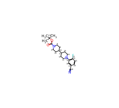 CC(C)(C)OC(=O)N1CCC(C2CCN(c3cc(C#N)ccc3F)CC2)CC1